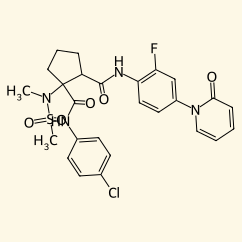 CN(C1(C(=O)Nc2ccc(Cl)cc2)CCCC1C(=O)Nc1ccc(-n2ccccc2=O)cc1F)S(C)(=O)=O